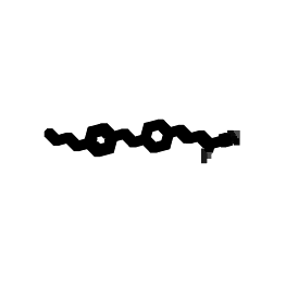 CCCCc1ccc(CCC2CCC(C=CC=C(F)C#N)CC2)cc1